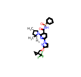 C[C@@H]1CN(c2nc(-n3ccc(OCC4(C(F)(F)F)CC4)n3)ccc2C(=O)N[S+]([O-])c2ccccc2)C(C)(C)C1